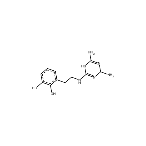 NC1=NC(N)N=C(NCCc2cccc(O)c2O)N1